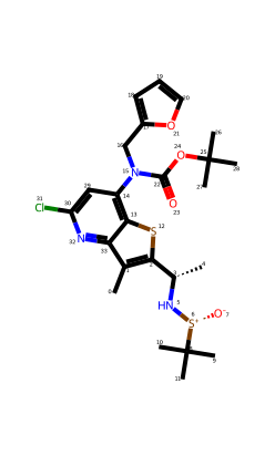 Cc1c([C@H](C)N[S@+]([O-])C(C)(C)C)sc2c(N(Cc3ccco3)C(=O)OC(C)(C)C)cc(Cl)nc12